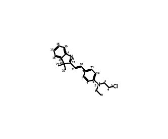 CCN(CCCl)c1ccc(C=CC2=Nc3ccccc3C2(C)C)cc1